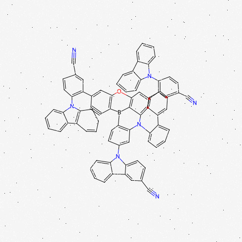 N#Cc1ccc(-n2c3c(c4ccccc42)C=CCC3)c(-c2c#cc3c(c2)Oc2cc(-c4cc(C#N)ccc4-n4c5ccccc5c5ccccc54)cc4c2B3c2ccc(-n3c5ccccc5c5cc(C#N)ccc53)cc2N4c2ccccc2-c2ccccc2)c1